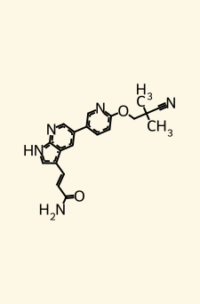 CC(C)(C#N)COc1ccc(-c2cnc3[nH]cc(C=CC(N)=O)c3c2)cn1